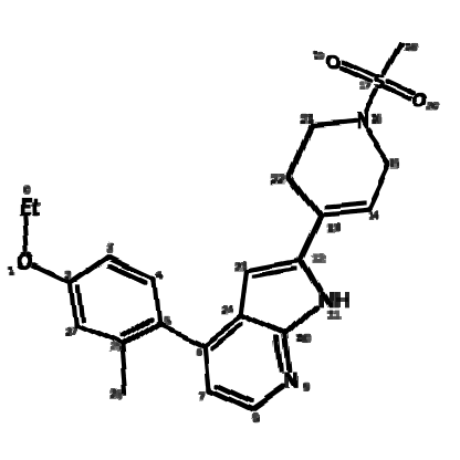 CCOc1ccc(-c2ccnc3[nH]c(C4=CCN(S(C)(=O)=O)CC4)cc23)c(C)c1